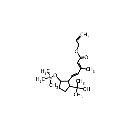 C=CCOC(=O)C=C(C)C=CC1C(O[Si](C)(C)C)CCC1C(C)(C)O